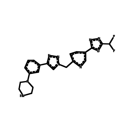 FC(F)c1nnc(-c2ccc(Cn3cc(-c4cccc(N5CCNCC5)c4)nn3)nc2)o1